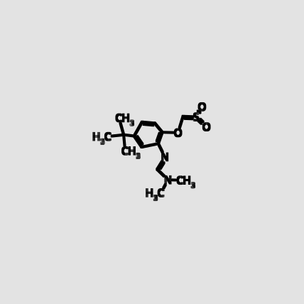 CN(C)C=Nc1cc(C(C)(C)C)ccc1OC=S(=O)=O